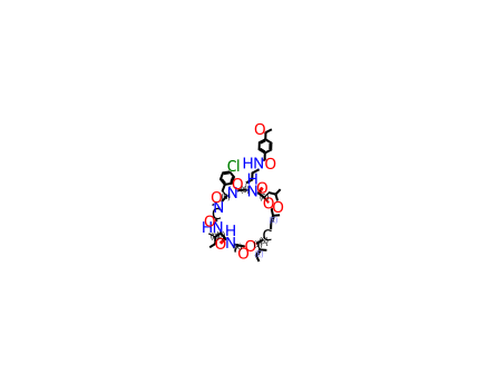 C/C=C(\C)[C@H]1OC(=O)[C@@H](C)NC(=O)[C@H]([C@H](C)CC)NC(=O)CN(C)C(=O)[C@@H](Cc2ccc(Cl)cc2)N(C)C(=O)[C@H](CCCCNC(=O)c2ccc(C(C)=O)cc2)NC(=O)[C@@H](CC(C)C)OC(=O)/C(C)=C/CC[C@@H]1C